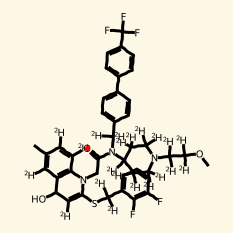 [2H]C1=C(SC([2H])([2H])c2cccc(F)c2F)N(CC(=O)N(C([2H])([2H])c2ccc(-c3ccc(C(F)(F)F)cc3)cc2)C2([2H])C([2H])([2H])C([2H])([2H])N(C([2H])([2H])C([2H])([2H])OC)C([2H])([2H])C2([2H])[2H])c2c([2H])c([2H])c(C)c([2H])c2C1O